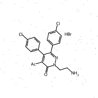 Br.CC(=O)c1c(-c2ccc(Cl)cc2)c(-c2ccc(Cl)cc2)nn(CCN)c1=O